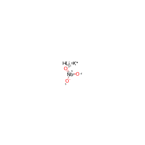 [K+].[LiH].[O]=[Nb](=[O])[O-]